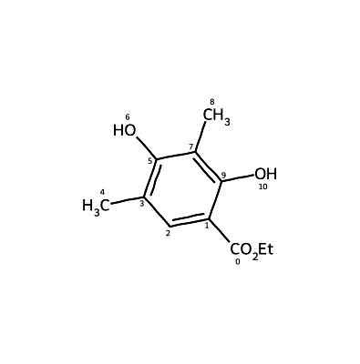 CCOC(=O)c1cc(C)c(O)c(C)c1O